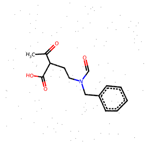 CC(=O)C(CCN(C=O)Cc1ccccc1)C(=O)O